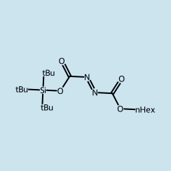 CCCCCCOC(=O)N=NC(=O)O[Si](C(C)(C)C)(C(C)(C)C)C(C)(C)C